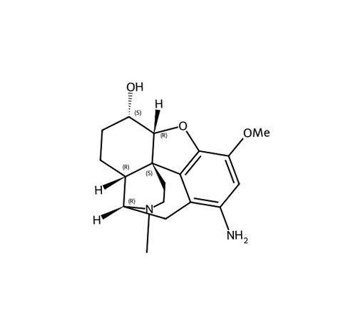 COc1cc(N)c2c3c1O[C@H]1[C@@H](O)CC[C@H]4[C@@H](C2)N(C)CC[C@@]341